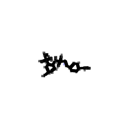 CSc1ccc(/C=C/S(=O)(=O)Nc2ccc(F)cc2S(N)(=O)=O)cc1